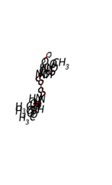 COC(=O)N[C@H](C(=O)N1[C@H](c2nc3ccc4cc(-c5ccc6c(ccc7nc([C@@H]8C[C@H](COCC9CCCCC9)CN8C(=O)[C@H](NC(=O)OC)c8ccccc8)[nH]c76)c5)ccc4c3[nH]2)C2C3[C@H]2[C@@H]31)C(C)C